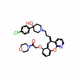 O=C(COC1C=CC=C2Oc3ncccc3C(=CCCN3CCC(O)(c4ccc(Cl)cc4)CC3)C=C21)N1CCOCC1